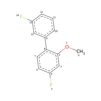 COc1cc(F)ccc1-c1[c]ccc(F)c1